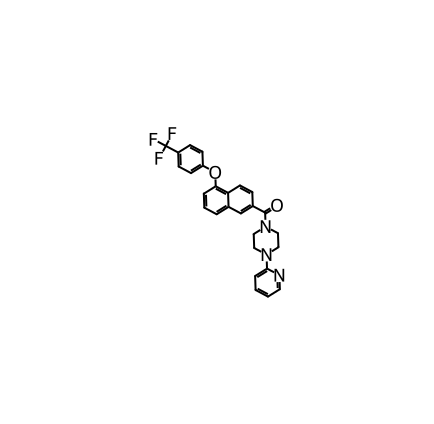 O=C(c1ccc2c(Oc3ccc(C(F)(F)F)cc3)cccc2c1)N1CCN(c2ccccn2)CC1